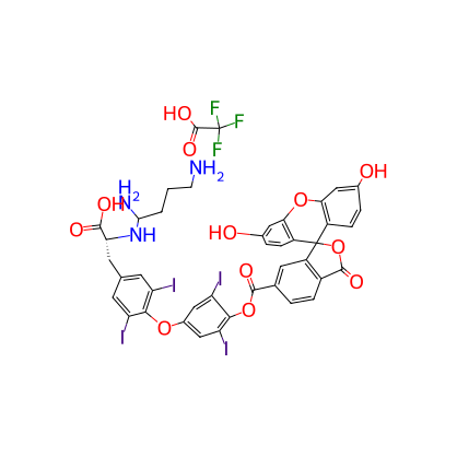 NCCCC(N)N[C@H](Cc1cc(I)c(Oc2cc(I)c(OC(=O)c3ccc4c(c3)C3(OC4=O)c4ccc(O)cc4Oc4cc(O)ccc43)c(I)c2)c(I)c1)C(=O)O.O=C(O)C(F)(F)F